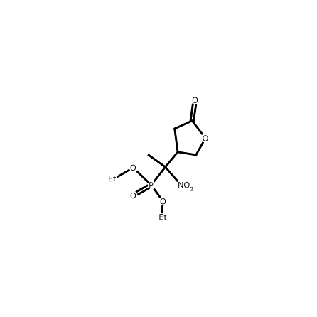 CCOP(=O)(OCC)C(C)(C1COC(=O)C1)[N+](=O)[O-]